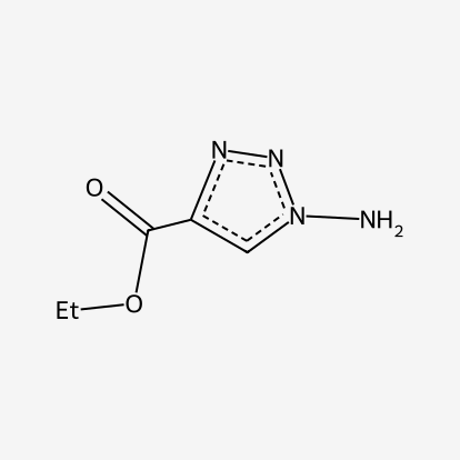 CCOC(=O)c1cn(N)nn1